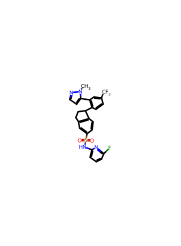 Cn1nccc1-c1cc(C(F)(F)F)ccc1C1CCc2cc(S(=O)(=O)Nc3cccc(F)n3)ccc21